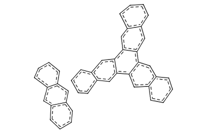 c1ccc2cc3c(cc2c1)c1cc2ccccc2cc1c1cc2ccccc2cc31.c1ccc2cc3ccccc3cc2c1